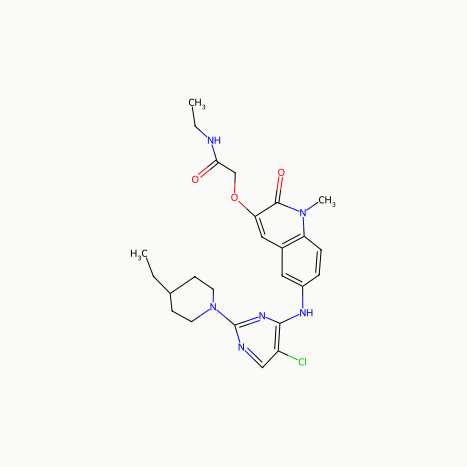 CCNC(=O)COc1cc2cc(Nc3nc(N4CCC(CC)CC4)ncc3Cl)ccc2n(C)c1=O